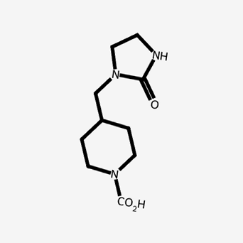 O=C(O)N1CCC(CN2CCNC2=O)CC1